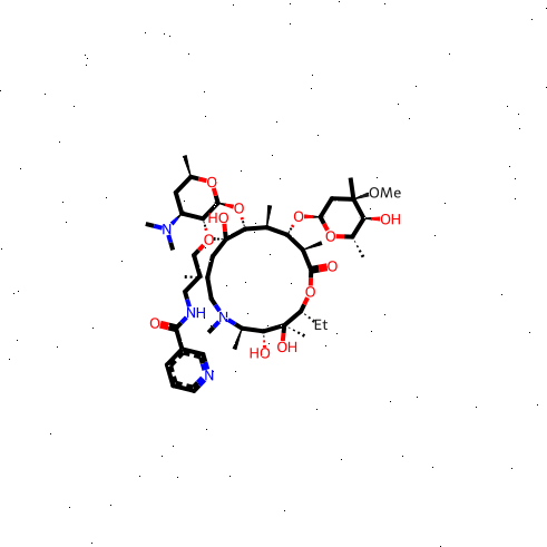 CC[C@H]1OC(=O)[C@H](C)[C@@H](O[C@H]2C[C@@](C)(OC)[C@@H](O)[C@H](C)O2)[C@H](C)[C@@H](O[C@@H]2O[C@H](C)C[C@H](N(C)C)[C@H]2OCCCNC(=O)c2cccnc2)[C@](C)(O)C[C@@H](C)CN(C)[C@H](C)[C@@H](O)[C@]1(C)O